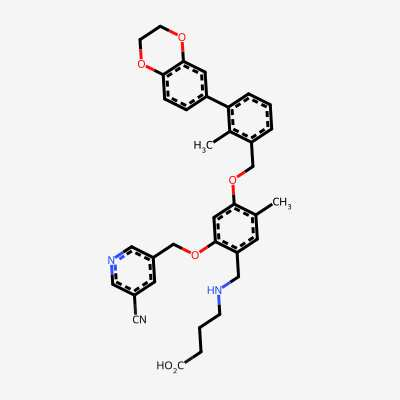 Cc1cc(CNCCCC(=O)O)c(OCc2cncc(C#N)c2)cc1OCc1cccc(-c2ccc3c(c2)OCCO3)c1C